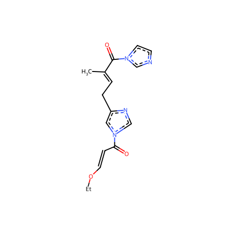 CCO/C=C/C(=O)n1cnc(C/C=C(\C)C(=O)n2ccnc2)c1